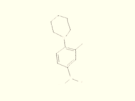 Cc1cc(B(O)O)ccc1N1CCCCC1